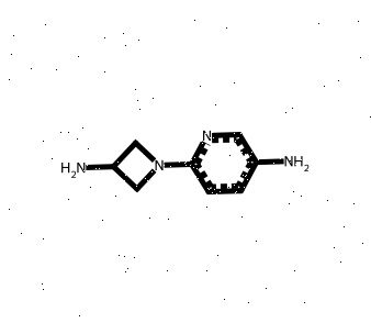 Nc1ccc(N2CC(N)C2)nc1